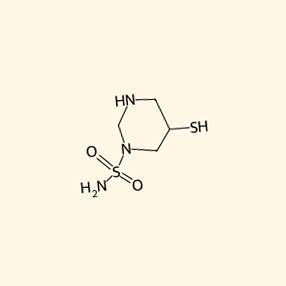 NS(=O)(=O)N1CNCC(S)C1